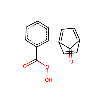 O=C(OO)c1ccccc1.O=C1C2=CC=C1C=C2